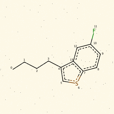 CCCCc1csc2ccc(F)cc12